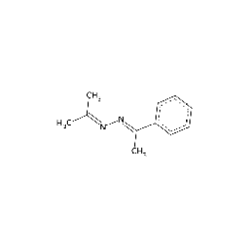 CC(C)=N/N=C(\C)c1ccccc1